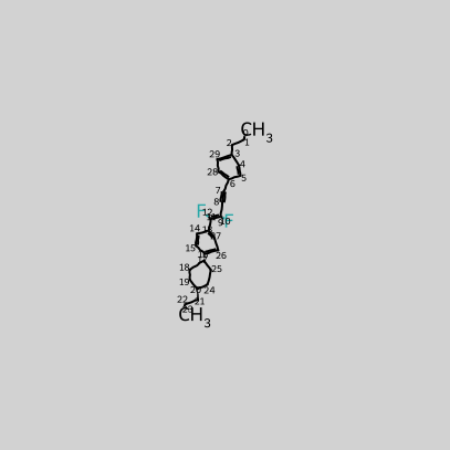 CCCc1ccc(C#CC(F)=C(F)c2ccc([C@H]3CC[C@H](CCC)CC3)cc2)cc1